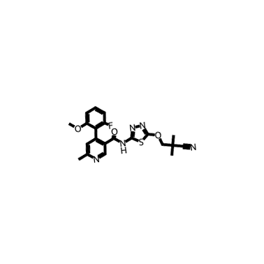 COc1cccc(F)c1-c1cc(C)ncc1C(=O)Nc1nnc(OCC(C)(C)C#N)s1